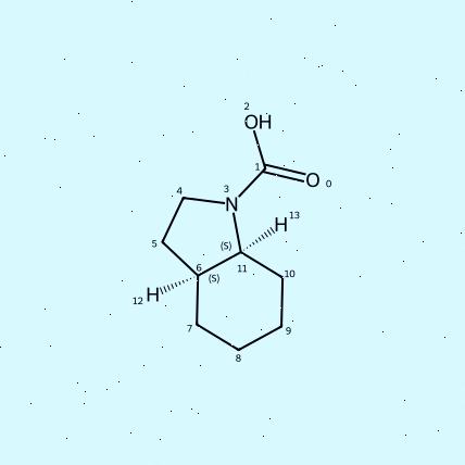 O=C(O)N1CC[C@@H]2CCCC[C@@H]21